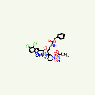 CC(=O)NS(=O)(=O)N1CCCC(CCCNC(=O)OCc2ccccc2)(NC(=O)c2cc3c(Cl)c(Cl)ccc3n2C)C1